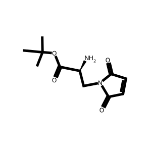 CC(C)(C)OC(=O)[C@@H](N)CN1C(=O)C=CC1=O